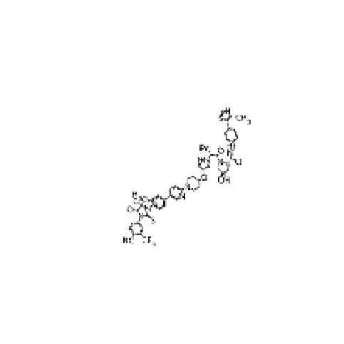 Cc1ncsc1-c1ccc(CNC(=O)[C@@H]2C[C@@H](O)CN2C(=O)C(C(C)C)n2cc(OC3CCN(c4ccc(-c5ccc(N6C(=S)N(c7ccc(C#N)c(C(F)(F)F)c7)C(=O)C6(C)C)cc5)cn4)CC3)cn2)cc1